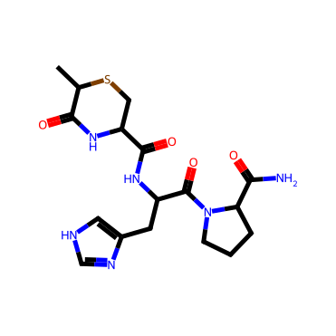 CC1SCC(C(=O)NC(Cc2c[nH]cn2)C(=O)N2CCCC2C(N)=O)NC1=O